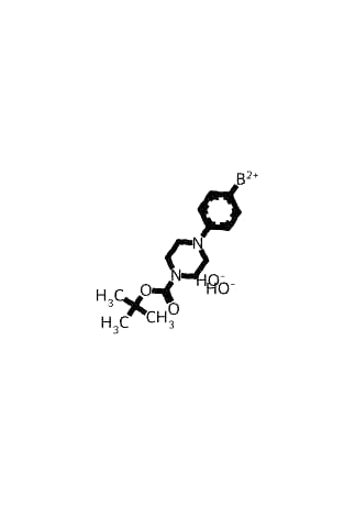 [B+2]c1ccc(N2CCN(C(=O)OC(C)(C)C)CC2)cc1.[OH-].[OH-]